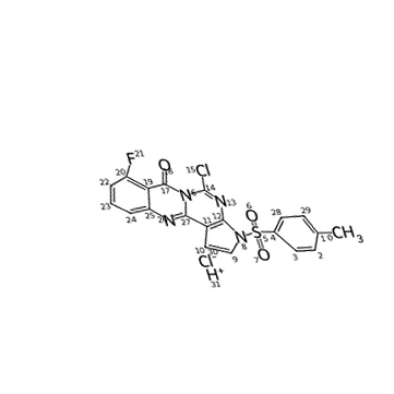 Cc1ccc(S(=O)(=O)n2ccc3c2nc(Cl)n2c(=O)c4c(F)cccc4nc32)cc1.[Cl-].[H+]